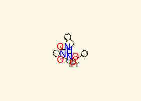 CC(C)C[C@H](NC(=O)OCc1ccccc1)C(=O)NC1(C(=O)CN2CCCc3ccccc3C2)CCCCC1